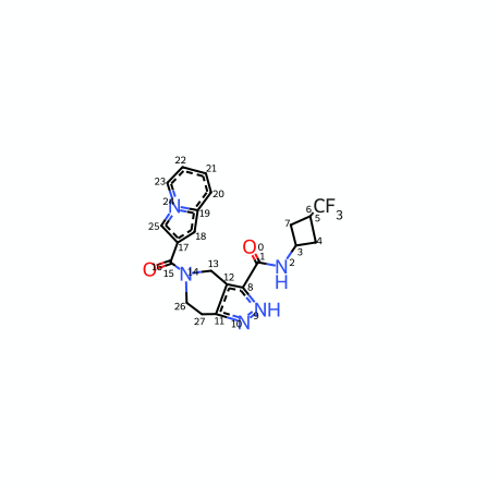 O=C(NC1CC(C(F)(F)F)C1)c1[nH]nc2c1CN(C(=O)c1cc3ccccn3c1)CC2